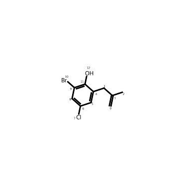 C=C(C)Cc1cc(Cl)cc(Br)c1O